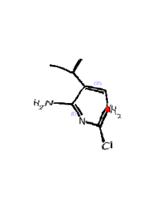 C=C(Cl)/N=C(N)\C(=C/N)C(C)C